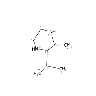 CC(C)C1NCCNC1C